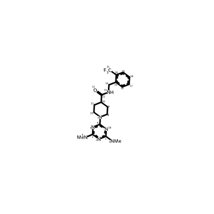 CNc1nc(NC)nc(N2CCC(C(=O)NCc3ccccc3C(F)(F)F)CC2)n1